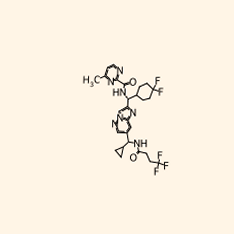 Cc1ccnc(C(=O)N[C@H](c2cn3ncc(C(NC(=O)CCC(F)(F)F)C4CC4)cc3n2)C2CCC(F)(F)CC2)n1